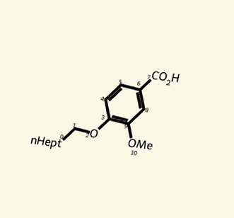 CCCCCCCCOc1ccc(C(=O)O)cc1OC